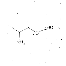 CC(N)COC=O